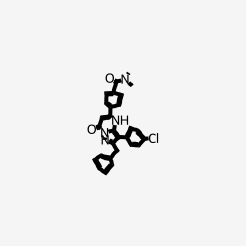 CN(C)C(=O)c1ccc(-c2cc(=O)n3nc(Cc4ccccc4)c(-c4ccc(Cl)cc4)c3[nH]2)cc1